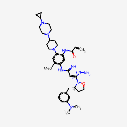 C=CC(=O)Nc1cc(NC(=N)/C=C(\NN)N2OCC[C@@H]2Cc2cccc(N(C)C)c2)c(OC)cc1N1CCC(N2CCN(C3CC3)CC2)CC1